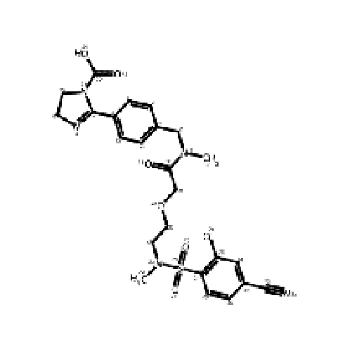 CN(Cc1ccc(C2=NCCN2C(=O)O)cc1)C(=O)COCCN(C)S(=O)(=O)c1ccc(C#N)cc1Cl